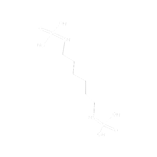 O=S(O)(O)=[SH]CCCCCC[SH]=S(=O)(O)O